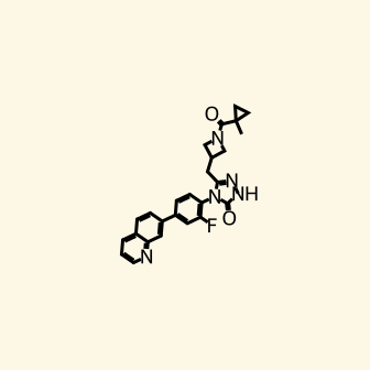 CC1(C(=O)N2CC(Cc3n[nH]c(=O)n3-c3ccc(-c4ccc5cccnc5c4)cc3F)C2)CC1